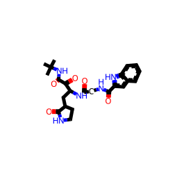 CC(C)(C)NC(=O)C(=O)C(CC1CCNC1=O)NC(=O)CNC(=O)c1cc2ccccc2[nH]1